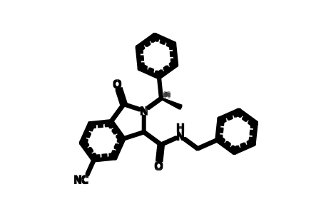 C[C@H](c1ccccc1)N1C(=O)c2ccc(C#N)cc2C1C(=O)NCc1ccccc1